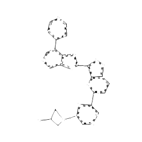 NC1CN(c2cncc(-c3ccc4[nH]nc(-c5nc6c(-c7ccncc7)cncc6[nH]5)c4n3)n2)C1